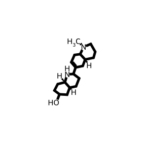 CN1CCC[C@@H]2CC(C3CC[C@@H]4CC(O)CC[C@@H]4N3)=CCC21